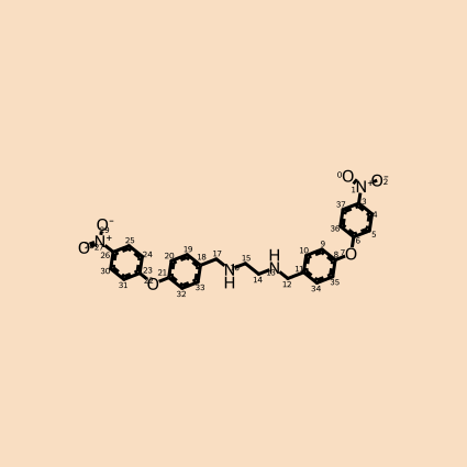 O=[N+]([O-])c1ccc(Oc2ccc(CNCCNCc3ccc(Oc4ccc([N+](=O)[O-])cc4)cc3)cc2)cc1